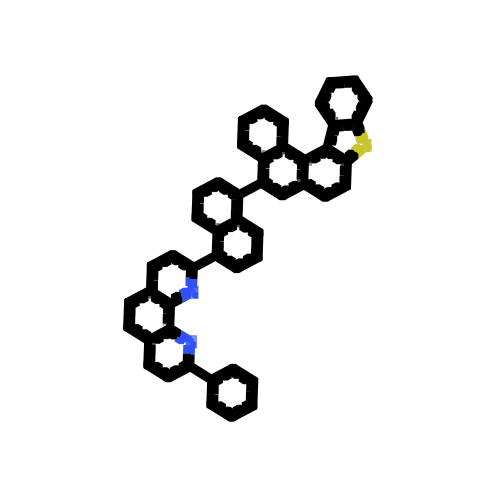 c1ccc(-c2ccc3ccc4ccc(-c5cccc6c(-c7cc8ccc9sc%10ccccc%10c9c8c8ccccc78)cccc56)nc4c3n2)cc1